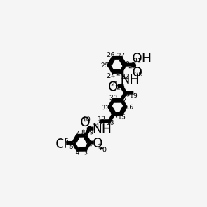 COc1ccc(Cl)cc1C(=O)NCCc1ccc(C(C)C(=O)Nc2ccccc2C(=O)O)cc1